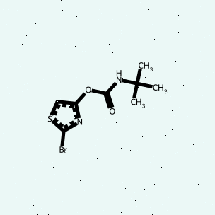 CC(C)(C)NC(=O)Oc1csc(Br)n1